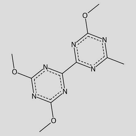 COc1nc(C)nc(-c2nc(OC)nc(OC)n2)n1